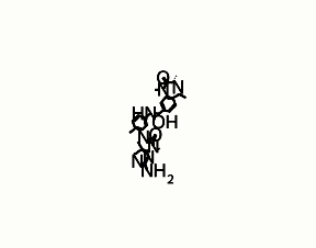 CC1=N[C@@H](C)C(=O)N(C)c2cc(C(O)Nc3ccc(C)c(N4Cc5cnc(N)nc5N(C)C4=O)c3)ccc21